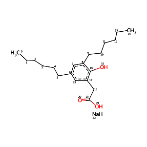 CCCCCCc1cc(CCCCCC)c(O)c(CC(=O)O)c1.[NaH]